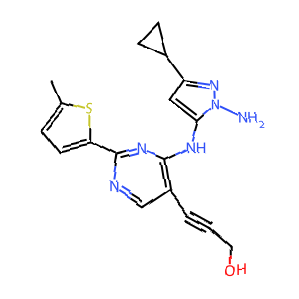 Cc1ccc(-c2ncc(C#CCO)c(Nc3cc(C4CC4)nn3N)n2)s1